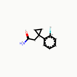 NC(=O)CC1(c2ccccc2F)CC1